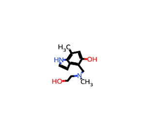 Cc1cc(O)c(CN(C)CCO)c2cc[nH]c12